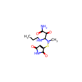 CCCNC(C(=O)C(N)=O)N(C)SC1=CC(=O)NC1=O